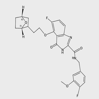 COc1cc(CNC(=O)c2nc3ccc(F)c(OCCC4C[C@H]5CC[C@@H]4O5)c3c(=O)[nH]2)ccc1F